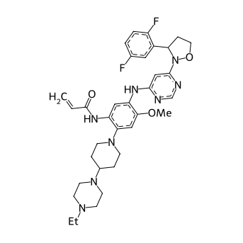 C=CC(=O)Nc1cc(Nc2cc(N3OCCC3c3cc(F)ccc3F)ncn2)c(OC)cc1N1CCC(N2CCN(CC)CC2)CC1